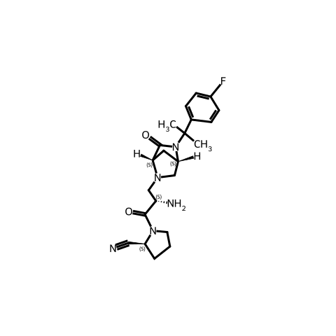 CC(C)(c1ccc(F)cc1)N1C(=O)[C@@H]2C[C@H]1CN2C[C@H](N)C(=O)N1CCC[C@H]1C#N